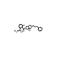 Cc1cccc(C(N)=O)c1C(=O)N1CC2CN(CC[CH]c3cccnc3)C[C@H]2C1